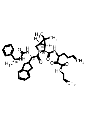 C=CCCC(NC(=O)[C@@H]1[C@H]2[C@@H](CN1C(=O)[C@@H](NC(=O)N[C@H](C)c1ccccc1)C1Cc3ccccc3C1)C2(C)C)C(=O)C(=O)NCC=C